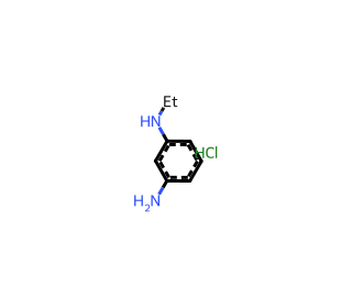 CCNc1cccc(N)c1.Cl